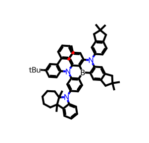 Cc1cc2c3c(c1)N(c1ccc(C(C)(C)C)cc1-c1ccccc1)c1cc(N4c5ccccc5C5(C)CCCCCC45C)ccc1B3c1cc3c(cc1N2c1ccc2c(c1)CC(C)(C)C2)CC(C)(C)C3